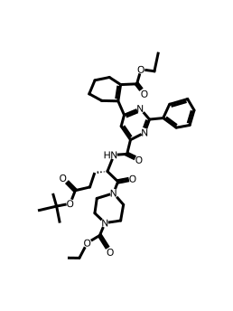 CCOC(=O)C1=C(c2cc(C(=O)N[C@@H](CCC(=O)OC(C)(C)C)C(=O)N3CCN(C(=O)OCC)CC3)nc(-c3ccccc3)n2)CCCC1